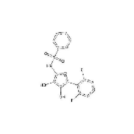 O=S(=O)(Nc1oc(-c2c(F)cccc2F)c(O)c1O)c1ccccc1